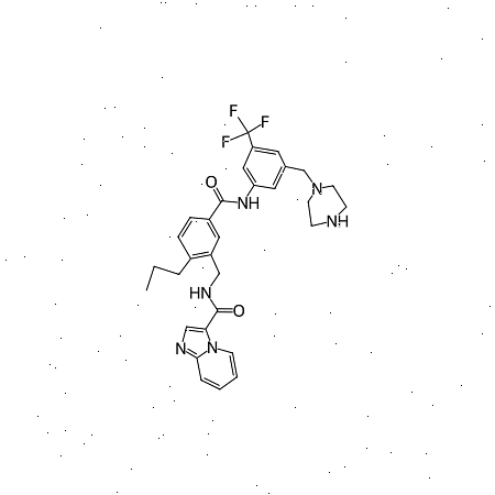 CCCc1ccc(C(=O)Nc2cc(CN3CCNCC3)cc(C(F)(F)F)c2)cc1CNC(=O)c1cnc2ccccn12